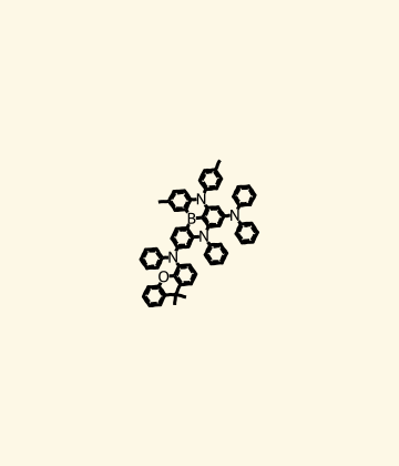 Cc1ccc(N2c3ccc(C)cc3B3c4ccc(N(c5ccccc5)c5cccc6c5Oc5ccccc5C6(C)C)cc4N(c4ccccc4)c4cc(N(c5ccccc5)c5ccccc5)cc2c43)cc1